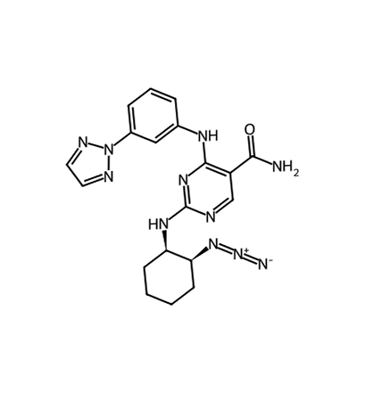 [N-]=[N+]=N[C@H]1CCCC[C@H]1Nc1ncc(C(N)=O)c(Nc2cccc(-n3nccn3)c2)n1